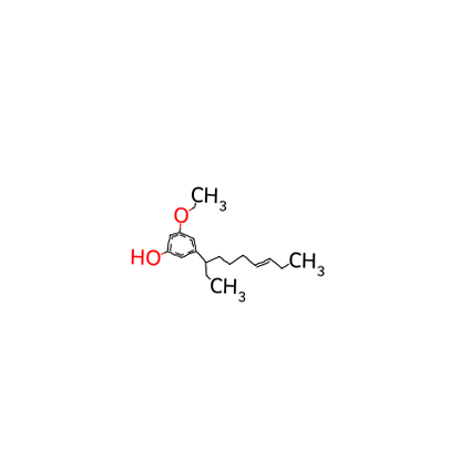 CC/C=C/CCCC(CC)c1cc(O)cc(OCC)c1